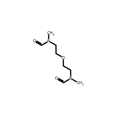 CN(C=O)CCOCCN(C)C=O